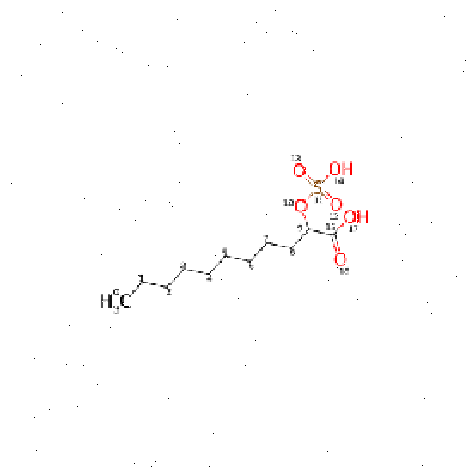 CCCCCCCCCC(OS(=O)(=O)O)C(=O)O